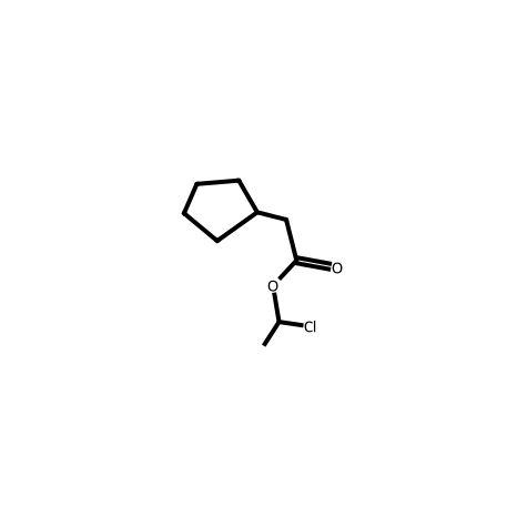 CC(Cl)OC(=O)CC1CCCC1